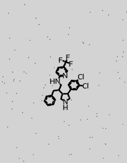 FC(F)(F)c1ccc(NCC(Cc2ccccc2)C2CNCC2c2ccc(Cl)c(Cl)c2)nc1